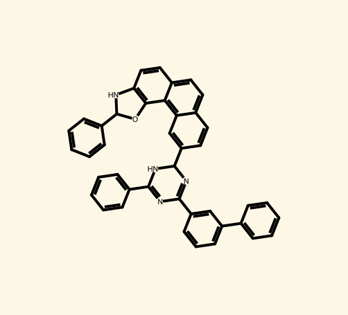 c1ccc(C2=NC(c3cccc(-c4ccccc4)c3)=NC(c3ccc4ccc5ccc6c(c5c4c3)OC(c3ccccc3)N6)N2)cc1